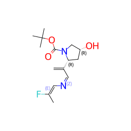 C=C(/C=N\C=C(/C)F)[C@H]1C[C@@H](O)CN1C(=O)OC(C)(C)C